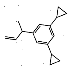 [CH2]C(C=C)c1cc(C2CC2)cc(C2CC2)c1